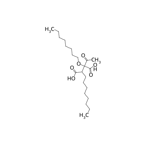 CCCCCCCCOC(C(C)=O)(C(=O)O)C(CCCCCCCC)C(=O)O